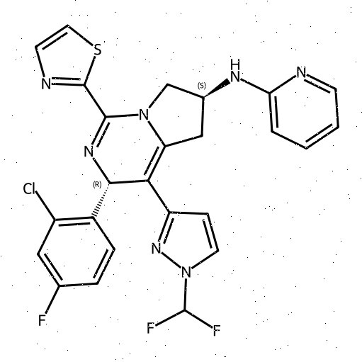 Fc1ccc([C@@H]2N=C(c3nccs3)N3C[C@@H](Nc4ccccn4)CC3=C2c2ccn(C(F)F)n2)c(Cl)c1